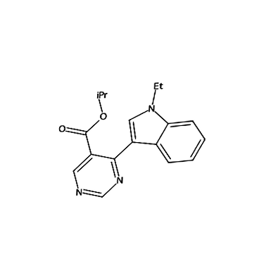 CCn1cc(-c2ncncc2C(=O)OC(C)C)c2ccccc21